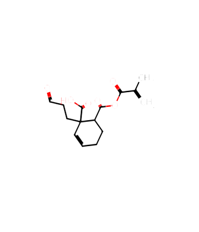 C=C(C)C(=O)OC(=O)C1CCC=CC1(CCC=O)C(=O)O